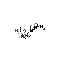 C=CC(=O)N1CC[C@H](N2CC(C#Cc3c(-c4ccc(Cl)c(C)c4)c4c(N)ncnc4n3C(C)C)C2)[C@H](F)C1